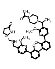 COc1nc(-c2cccc(-c3cccc(-c4ccc(C(C)N5CCN(C(C)=O)CC5)c(OC)n4)c3Cl)c2Cl)ccc1CNC[C@@H]1CCC(=O)N1